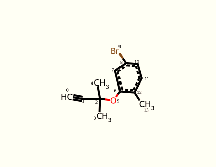 C#CC(C)(C)Oc1cc(Br)ccc1C